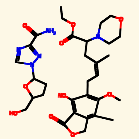 CCOC(=O)C(CC(C)=CCc1c(O)c2c(c(C)c1OC)COC2=O)N1CCOCC1.NC(=O)c1ncn(C2CCC(CO)O2)n1